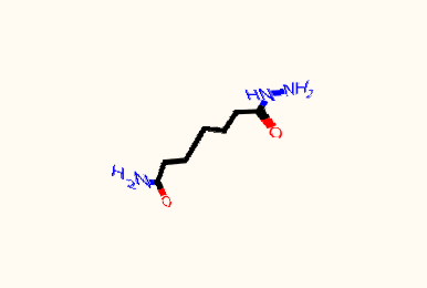 NNC(=O)CCCCCC(N)=O